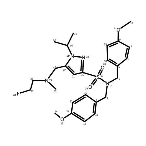 COc1ccc(CN(Cc2ccc(OC)cc2)S(=O)(=O)c2cc(CN(C)CCF)n(C(C)C)n2)cc1